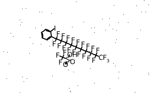 FC(F)(F)C(F)(F)C(F)(F)C(F)(F)C(F)(F)C(F)(F)C(F)(F)C(F)(F)C(F)(F)C(F)(F)c1ccccc1I.O=S(=O)(O)C(F)(F)F